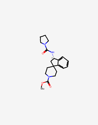 CC(C)(C)OC(=O)N1CCC2(CC1)C[C@H](NC(=O)N1CCCC1)c1ccccc12